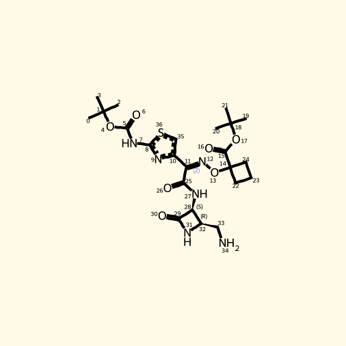 CC(C)(C)OC(=O)Nc1nc(/C(=N/OC2(C(=O)OC(C)(C)C)CCC2)C(=O)N[C@@H]2C(=O)N[C@@H]2CN)cs1